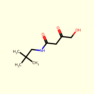 CC(C)(C)CNC(=O)CC(=O)CO